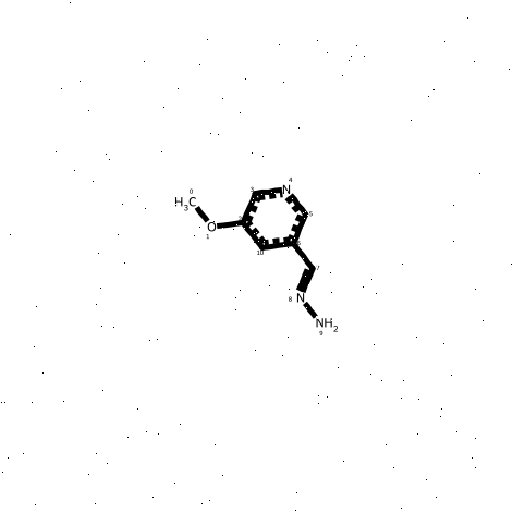 COc1cncc(C=NN)c1